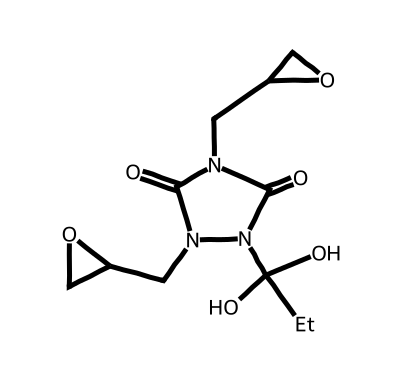 CCC(O)(O)n1c(=O)n(CC2CO2)c(=O)n1CC1CO1